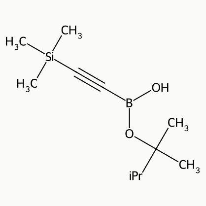 CC(C)C(C)(C)OB(O)C#C[Si](C)(C)C